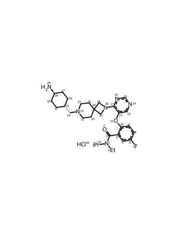 CCN(C(=O)c1cc(F)ccc1Oc1cncnc1N1CC2(CCN(C[C@H]3CC[C@H](N)CC3)CC2)C1)C(C)C.Cl